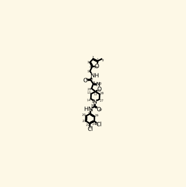 Cc1ccc(CNC(=O)C2=NOC3(CCN(C(=O)Nc4ccc(Cl)c(Cl)c4)CC3)C2)o1